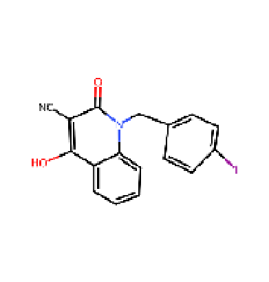 N#Cc1c(O)c2ccccc2n(Cc2ccc(I)cc2)c1=O